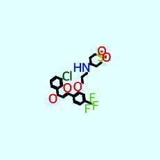 O=c1cc(-c2ccc(C(F)(F)F)cc2OCCCNC2CCS(=O)(=O)CC2)oc2c(Cl)cccc12